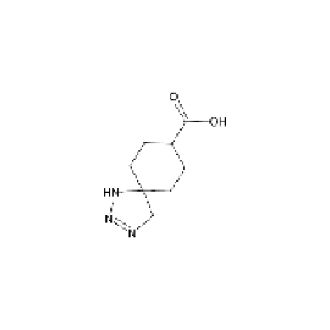 O=C(O)C1CCC2(CC1)CN=NN2